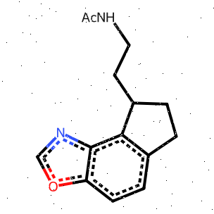 CC(=O)NCCC1CCc2ccc3ocnc3c21